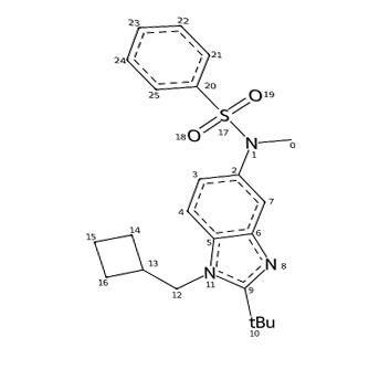 CN(c1ccc2c(c1)nc(C(C)(C)C)n2CC1CCC1)S(=O)(=O)c1ccccc1